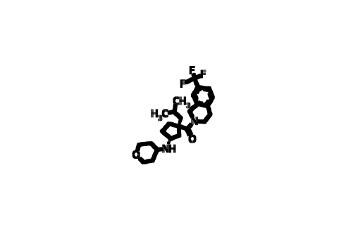 CC(C)C[C@]1(C(=O)N2CCc3ccc(C(F)(F)F)cc3C2)CC[C@@H](NC2CCOCC2)C1